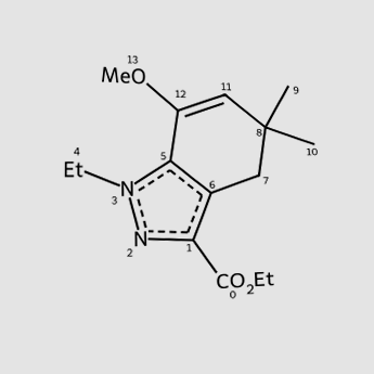 CCOC(=O)c1nn(CC)c2c1CC(C)(C)C=C2OC